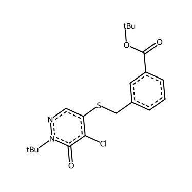 CC(C)(C)OC(=O)c1cccc(CSc2cnn(C(C)(C)C)c(=O)c2Cl)c1